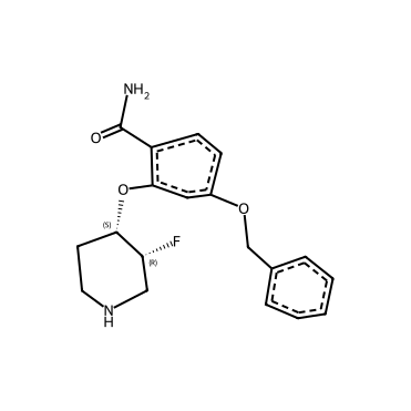 NC(=O)c1ccc(OCc2ccccc2)cc1O[C@H]1CCNC[C@H]1F